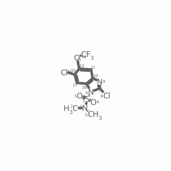 CN(C)S(=O)(=O)n1c(Cl)nc2cc(OC(F)(F)F)c(Cl)cc21